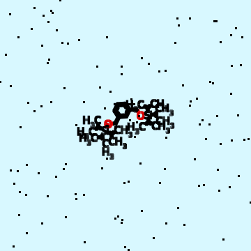 CC(C)[Si](OCc1c[c]cc(CO[Si](C(C)C)(C(C)C)C(C)C)c1)(C(C)C)C(C)C